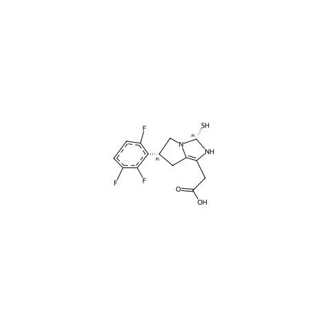 O=C(O)CC1=C2C[C@H](c3c(F)ccc(F)c3F)CN2[C@H](S)N1